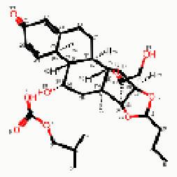 CC(C)COC(=O)O.CCCC1O[C@@H]2C[C@H]3[C@@H]4CCC5=CC(=O)C=C[C@]5(C)[C@H]4[C@@H](O)C[C@]3(C)[C@]2(C(=O)CO)O1